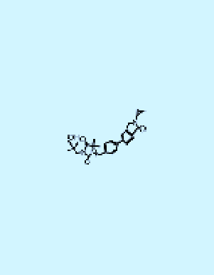 CC(C)(CO)CN1C(=O)N(Cc2ccc(-c3ccc4c(c3)CN(C3CC3)C4=O)cc2)C(C)(C)C1=O